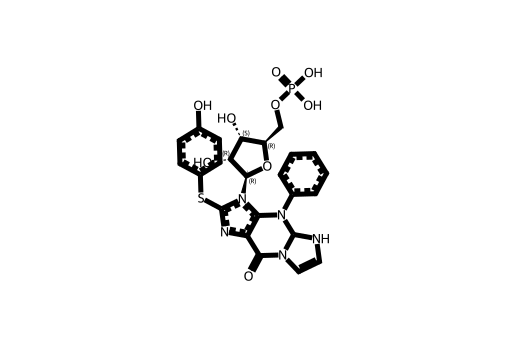 O=C1c2nc(Sc3ccc(O)cc3)n([C@@H]3O[C@H](COP(=O)(O)O)[C@@H](O)[C@H]3O)c2N(c2ccccc2)C2NC=CN12